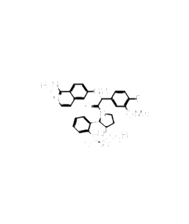 COc1cc([C@@H](Nc2ccc3c(N)nccc3c2)C(=O)N2CC[C@@H](C(=O)O)[C@H]2c2ccccc2S(=O)(=O)C(C)C)ccc1F